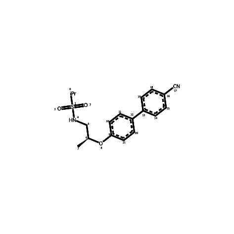 CC(C)S(=O)(=O)NC[C@H](C)Oc1ccc(-c2ccc(C#N)cc2)cc1